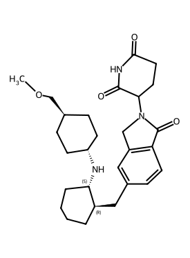 COC[C@H]1CC[C@H](N[C@H]2CCCC[C@@H]2Cc2ccc3c(c2)CN(C2CCC(=O)NC2=O)C3=O)CC1